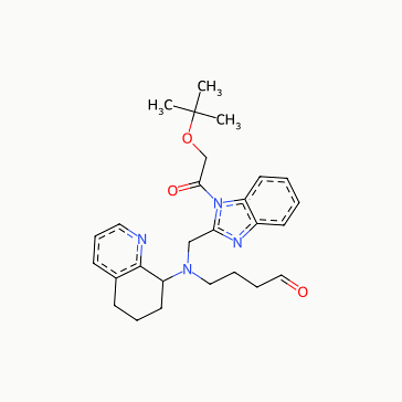 CC(C)(C)OCC(=O)n1c(CN(CCCC=O)C2CCCc3cccnc32)nc2ccccc21